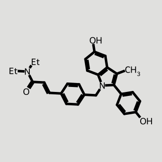 CCN(CC)C(=O)C=Cc1ccc(Cn2c(-c3ccc(O)cc3)c(C)c3cc(O)ccc32)cc1